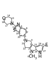 CN1C2=C(CN(c3ccc4nc(N5CCOCC5)sc4c3)CC2)C2=CC(F)=CNC21